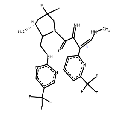 CN/C=C(\C(=N)C(=O)N1CC(F)(F)C[C@@H](C)C1CNc1ncc(C(F)(F)F)cn1)c1cccc(C(F)(F)F)n1